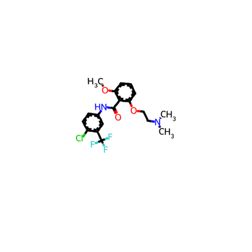 COc1cccc(OCCN(C)C)c1C(=O)Nc1ccc(Cl)c(C(F)(F)F)c1